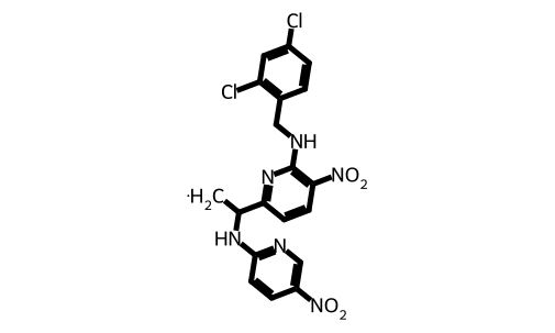 [CH2]C(Nc1ccc([N+](=O)[O-])cn1)c1ccc([N+](=O)[O-])c(NCc2ccc(Cl)cc2Cl)n1